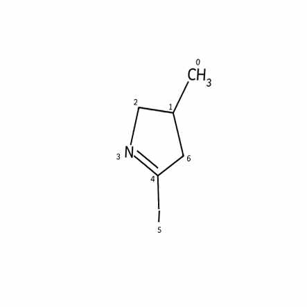 CC1CN=C(I)C1